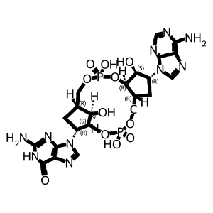 Nc1nc2c(ncn2[C@@H]2C[C@@H]3COP(=O)(O)O[C@@H]4[C@@H](COP(=O)(O)O[C@@H]2[C@@H]3O)C[C@@H](n2cnc3c(N)ncnc32)[C@@H]4O)c(=O)[nH]1